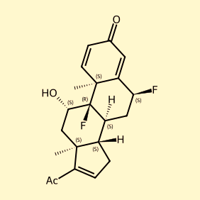 CC(=O)C1=CC[C@H]2[C@@H]3C[C@H](F)C4=CC(=O)C=C[C@]4(C)[C@@]3(F)[C@@H](O)C[C@]12C